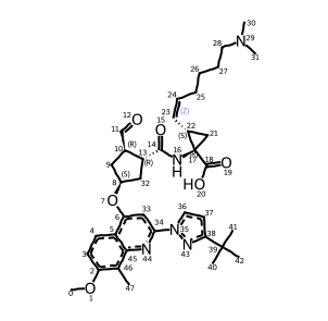 COc1ccc2c(O[C@H]3C[C@@H](C=O)[C@H](C(=O)N[C@]4(C(=O)O)C[C@H]4/C=C\CCCCN(C)C)C3)cc(-n3ccc(C(C)(C)C)n3)nc2c1C